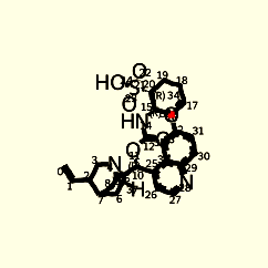 C=CC1CN2CCC1C[C@H]2[C@H](OC(=O)N[C@@H]1CCCC[C@H]1S(=O)(=O)O)c1ccnc2ccc(OC)cc12